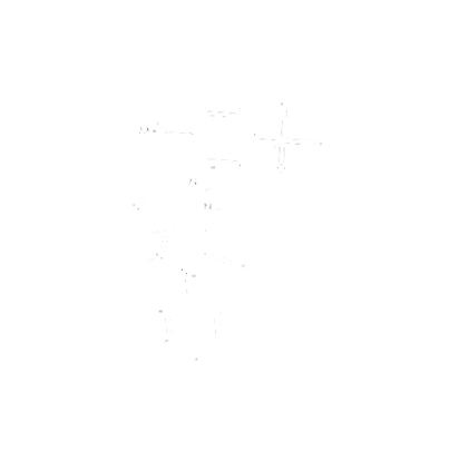 COc1ccc(S(=O)(=O)Cl)cc1/N=N/C1C(=O)N(c2ccccc2)N=C1C#N